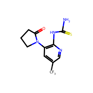 NC(=S)Nc1ncc(C(F)(F)F)cc1N1CCCC1=O